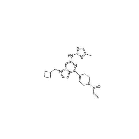 C=CC(=O)N1CC=C(c2nc(Nc3ncc(C)s3)cc3c2ccn3CC2CCC2)CC1